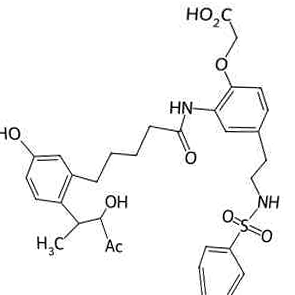 CC(=O)C(O)C(C)c1ccc(O)cc1CCCCC(=O)Nc1cc(CCNS(=O)(=O)c2ccccc2)ccc1OCC(=O)O